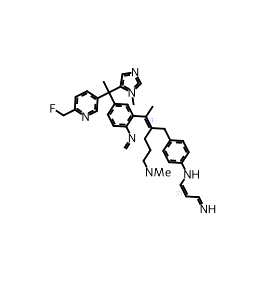 C=Nc1ccc(C(C)(c2ccc(CF)nc2)c2cncn2C)cc1/C(C)=C(\CCCNC)Cc1ccc(N/C=C\C=N)cc1